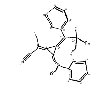 N#C/C(I)=C1\C(=C(Br)c2ccccc2)\C1=C(\c1ccccc1)C(F)(F)F